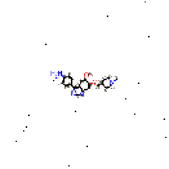 COc1cc2c(-c3ccc(N)cc3)ncnc2cc1OCC1CCN(C)CC1